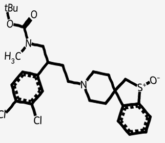 CN(CC(CCN1CCC2(CC1)C[S+]([O-])c1ccccc12)c1ccc(Cl)c(Cl)c1)C(=O)OC(C)(C)C